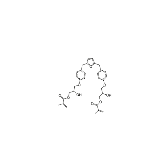 C=C(C)C(=O)OCC(O)COc1ccc(Cc2ccc(Cc3ccc(OCC(O)COC(=O)C(=C)C)cc3)o2)cc1